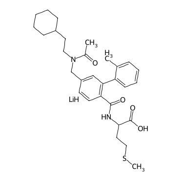 CSCCC(NC(=O)c1ccc(CN(CCC2CCCCC2)C(C)=O)cc1-c1ccccc1C)C(=O)O.[LiH]